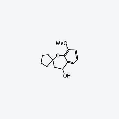 COc1cccc2c1OC1(CCCC1)CC2O